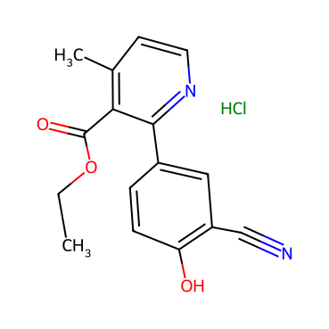 CCOC(=O)c1c(C)ccnc1-c1ccc(O)c(C#N)c1.Cl